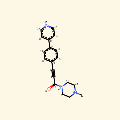 CN1CCN(C(=O)C#Cc2ccc(-c3ccncc3)cc2)CC1